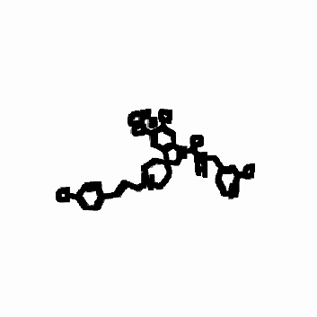 O=C(NCc1ccnc(Cl)c1)N1CC2(CCN(C/C=C/c3ccc(Cl)cc3)CC2)c2cc(OC(F)(F)F)c(Cl)cc21